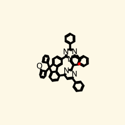 c1ccc(-c2cc(-c3cccc4c3-c3cc(-c5nc(-c6ccccc6)nc(-c6ccccc6)n5)ccc3C43c4ccccc4Oc4ccccc43)nc(-c3ccccc3)n2)cc1